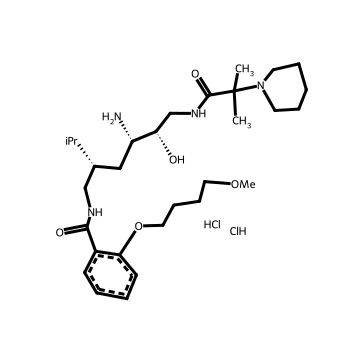 COCCCCOc1ccccc1C(=O)NC[C@@H](C[C@H](N)[C@@H](O)CNC(=O)C(C)(C)N1CCCCC1)C(C)C.Cl.Cl